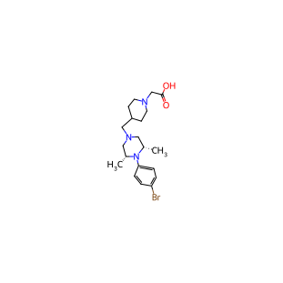 C[C@@H]1CN(CC2CCN(CC(=O)O)CC2)C[C@H](C)N1c1ccc(Br)cc1